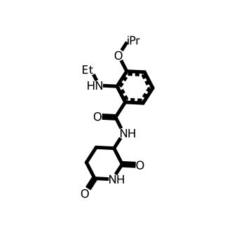 CCNc1c(OC(C)C)cccc1C(=O)NC1CCC(=O)NC1=O